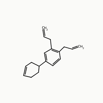 C=CCc1ccc(C2CC=CCC2)cc1CC=C